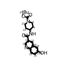 CC(C)(C)OC(=O)N1CCC(NC(=O)c2cnc3ccc(O)cc3c2)CC1